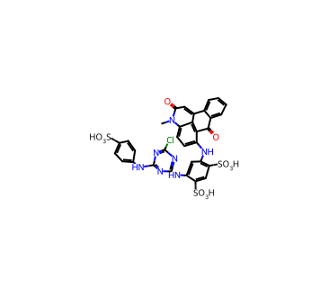 Cn1c(=O)cc2c3c(c(Nc4cc(Nc5nc(Cl)nc(Nc6ccc(S(=O)(=O)O)cc6)n5)c(S(=O)(=O)O)cc4S(=O)(=O)O)ccc31)C(=O)c1ccccc1-2